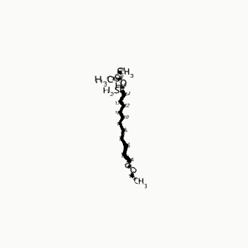 CCOOCCCCCCCCCCC[SiH2]O[SiH](C)C